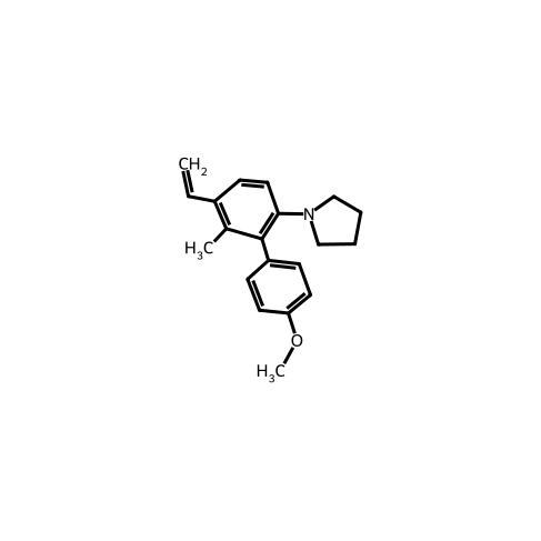 C=Cc1ccc(N2CCCC2)c(-c2ccc(OC)cc2)c1C